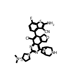 CN(C)[C@H]1CCN(c2nc(N3C4CCC3CNC4)c3c4c(c(-c5ccc(F)c6sc(N)c(C#N)c56)c(Cl)c3n2)COC4)C1